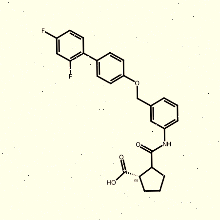 O=C(Nc1cccc(COc2ccc(-c3ccc(F)cc3F)cc2)c1)C1CCC[C@@H]1C(=O)O